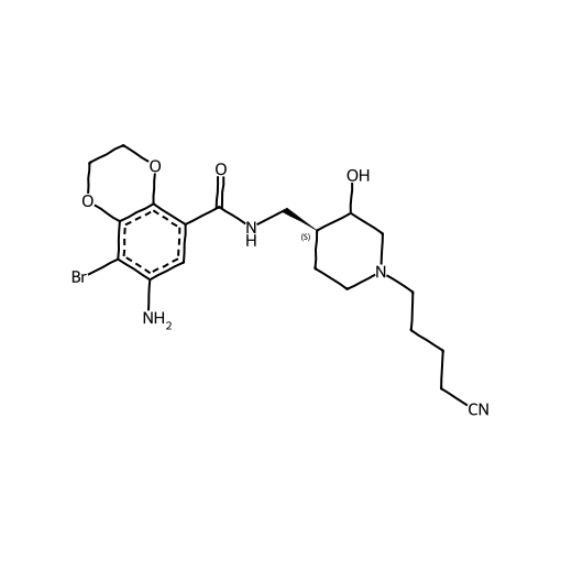 N#CCCCCN1CC[C@@H](CNC(=O)c2cc(N)c(Br)c3c2OCCO3)C(O)C1